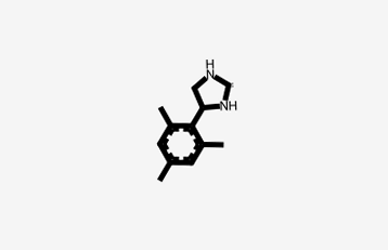 Cc1cc(C)c(C2CN[C]N2)c(C)c1